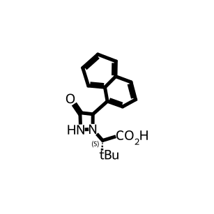 CC(C)(C)[C@@H](C(=O)O)N1NC(=O)C1c1cccc2ccccc12